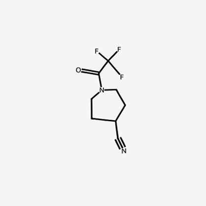 N#CC1CCN(C(=O)C(F)(F)F)CC1